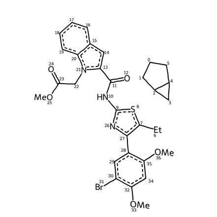 C1CC2CC2C1.CCc1sc(NC(=O)c2cc3ccccc3n2CC(=O)OC)nc1-c1cc(Br)c(OC)cc1OC